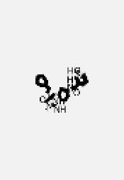 CN1C(=N)N[C@](CCC2CCCCC2)(C[C@H]2CCC[C@@H](NC(=O)c3ccc[n+](O)c3)C2)C1=O